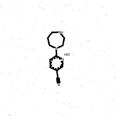 Cl.N#Cc1ccc(N2CCCNCC2)nc1